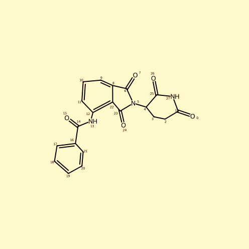 O=C1CCC(N2C(=O)c3cccc(NC(=O)c4ccccc4)c3C2=O)C(=O)N1